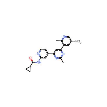 Cc1nc(-c2ccnc(NC(=O)C3CC3)c2)cc(-c2cc([N+](=O)[O-])cnc2C)n1